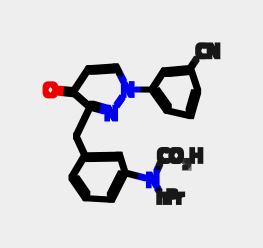 CCCN(C(=O)O)c1cccc(Cc2nn(-c3cccc(C#N)c3)ccc2=O)c1